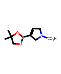 CC1(C)COB(C2=CCN(C(=O)O)C2)O1